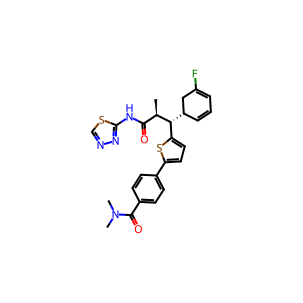 C[C@H](C(=O)Nc1nncs1)[C@@H](c1ccc(-c2ccc(C(=O)N(C)C)cc2)s1)C1C=CC=C(F)C1